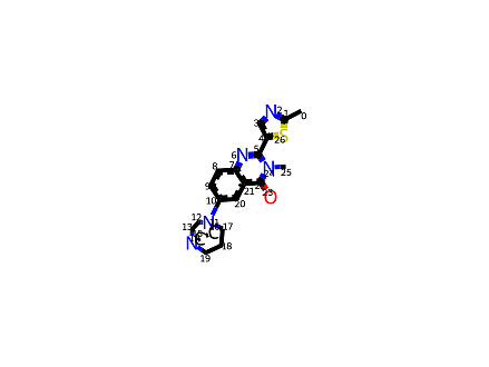 Cc1ncc(-c2nc3ccc(N4CCN5CCC4CC5)cc3c(=O)n2C)s1